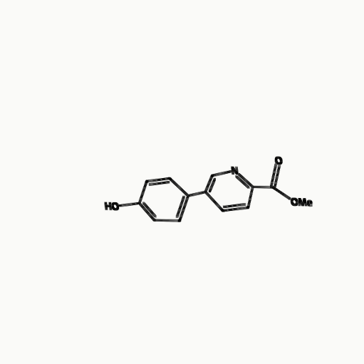 COC(=O)c1ccc(-c2ccc(O)cc2)cn1